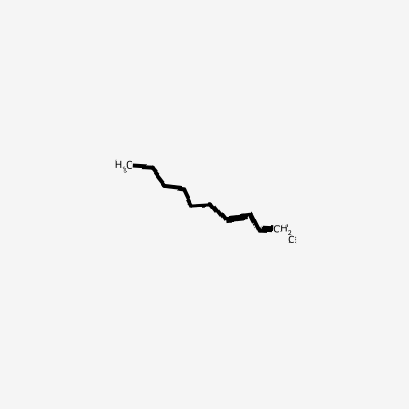 C=CC=CCCCCCC.[C]